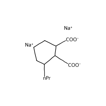 CCCC1CCCC(C(=O)[O-])C1C(=O)[O-].[Na+].[Na+]